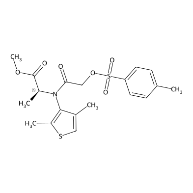 COC(=O)[C@H](C)N(C(=O)COS(=O)(=O)c1ccc(C)cc1)c1c(C)csc1C